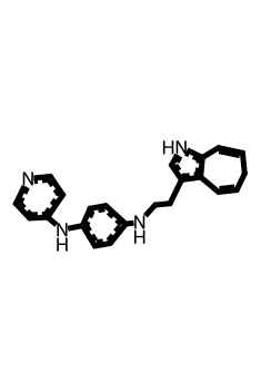 C1=Cc2[nH]cc(CCNc3ccc(Nc4ccncc4)cc3)c2C=CC1